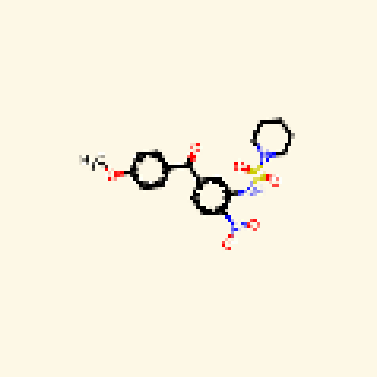 COc1ccc(C(=O)c2ccc([N+](=O)[O-])c(NS(=O)(=O)N3CCCCC3)c2)cc1